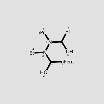 CCCCCC(O)N(CC)N(CCC)C(O)CC